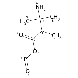 CC(C(=O)OP=O)C(C)(C)N